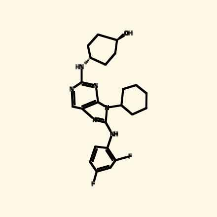 O[C@H]1CC[C@H](Nc2ncc3nc(Nc4ccc(F)cc4F)n(C4CCCCC4)c3n2)CC1